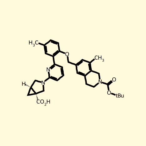 Cc1ccc(OCc2cc(C)c3c(c2)CCN(C(=O)OC(C)(C)C)C3)c(-c2cccc(N3C[C@@H]4C[C@]4(C(=O)O)C3)n2)c1